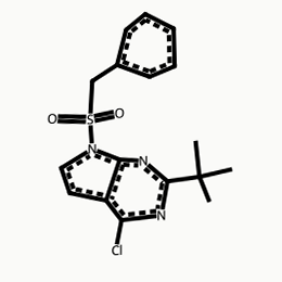 CC(C)(C)c1nc(Cl)c2ccn(S(=O)(=O)Cc3ccccc3)c2n1